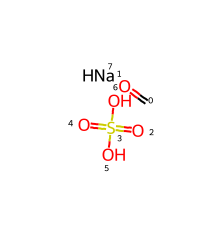 C=O.O=S(=O)(O)O.[NaH]